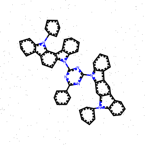 c1ccc(-c2nc(-n3c4ccccc4c4cc5c6ccccc6n(-c6ccccc6)c5cc43)nc(-n3c4ccccc4c4c3ccc3c5ccccc5n(-c5ccccc5)c34)n2)cc1